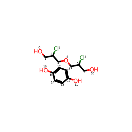 OCC(Cl)COCC(Cl)CO.Oc1ccc(O)cc1